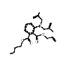 C=CCOC(=O)c1c(C(=O)OCCCC)cccc1N(CC(=C)C)CC(=C)C